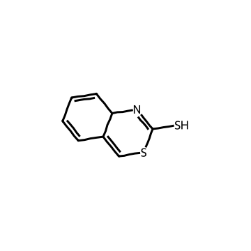 SC1=NC2C=CC=CC2=CS1